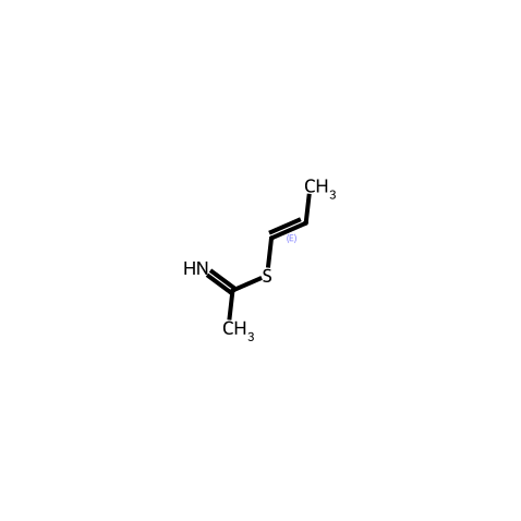 C/C=C/SC(C)=N